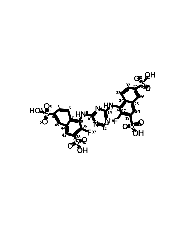 O=S(=O)(O)c1ccc2c(Nc3ncnc(Nc4c(F)c(S(=O)(=O)O)cc5cc(S(=O)(=O)O)ccc45)n3)c(F)c(S(=O)(=O)O)cc2c1